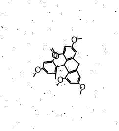 COc1cc(I)c(C2c3c(cc(OC)cc3OC)Cc3cc(OC)cc(OC)c32)c(OC)c1